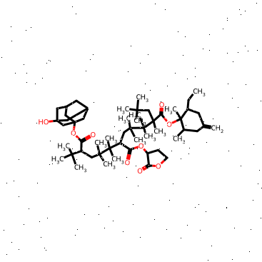 C=C1CC(C)C(C)(OC(=O)C(C)(CC(C)(C)C)C(C)(C)C(C)(C)CC(C(=O)OC2CCOC2=O)C(C)(C)C(C)(C)CC(C(=O)OC23CC4CC(CC(O)(C4)C2)C3)C(C)(C)C)C(CC)C1